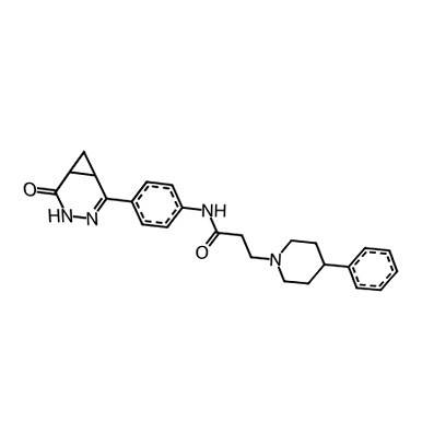 O=C(CCN1CCC(c2ccccc2)CC1)Nc1ccc(C2=NNC(=O)C3CC23)cc1